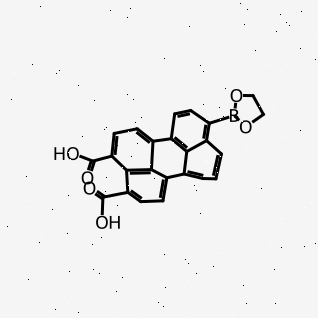 O=C(O)c1ccc2c3cccc4c(B5OCCO5)ccc(c5ccc(C(=O)O)c1c25)c43